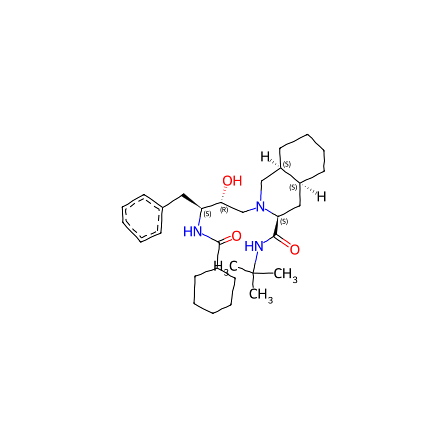 CC(C)(C)NC(=O)[C@@H]1C[C@@H]2CCCC[C@@H]2CN1C[C@@H](O)[C@H](Cc1ccccc1)NC(=O)C1CCCCC1